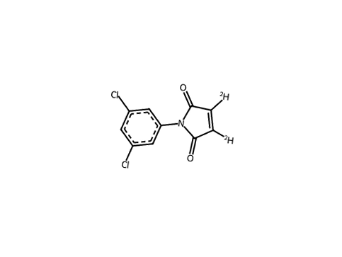 [2H]C1=C([2H])C(=O)N(c2cc(Cl)cc(Cl)c2)C1=O